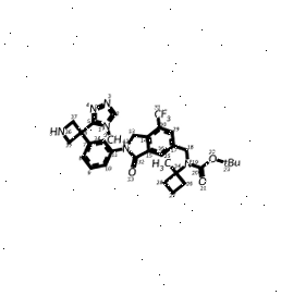 Cn1cnnc1C1(c2cccc(N3Cc4c(cc(CN(C(=O)OC(C)(C)C)C5(C)CCC5)cc4C(F)(F)F)C3=O)c2)CNC1